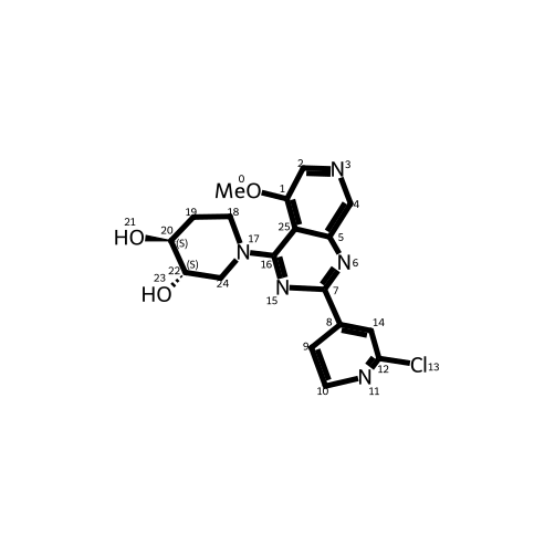 COc1cncc2nc(-c3ccnc(Cl)c3)nc(N3CC[C@H](O)[C@@H](O)C3)c12